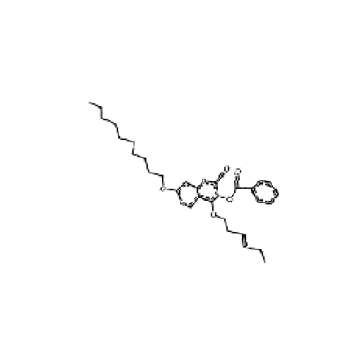 CCC=CCCOc1c(OC(=O)c2ccccc2)c(=O)oc2cc(OCCCCCCCCCC)ccc12